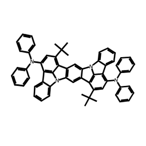 CC(C)(C)c1cc(N(c2ccccc2)c2ccccc2)c2c3ccccc3n3c4cc5c6c(C(C)(C)C)cc(N(c7ccccc7)c7ccccc7)c7c8ccccc8n(c5cc4c1c23)c76